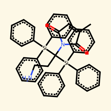 CC1=CC(=O)N(C(CCN)([Si](c2ccccc2)(c2ccccc2)c2ccccc2)[Si](c2ccccc2)(c2ccccc2)c2ccccc2)C1=O